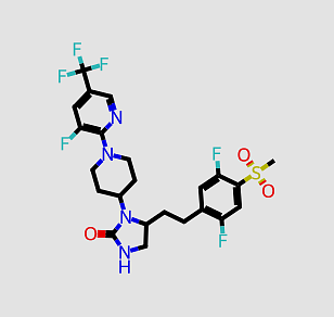 CS(=O)(=O)c1cc(F)c(CCC2CNC(=O)N2C2CCN(c3ncc(C(F)(F)F)cc3F)CC2)cc1F